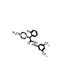 CN1CCN(C(C(=O)NNc2cc(C(F)(F)F)cc(C(F)(F)F)c2)c2ccccc2F)CC1